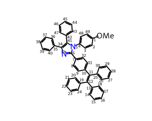 COc1ccc(-n2c(-c3ccc(C(=C(c4ccccc4)c4ccccc4)c4ccccc4)cc3)nc(-c3ccccc3)c2-c2ccccc2)cc1